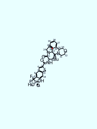 CC(C)(C)C(NC(=O)c1cc2cc(C(F)(F)P(=O)(O)O)ccc2s1)C(=O)N1CCCC1C(=O)N1CCOCC1c1ccccc1